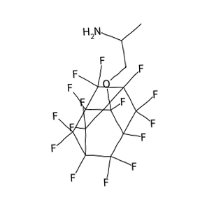 CC(N)COC1(F)C2(F)C(F)(F)C3(F)C(F)(F)C(F)(C2(F)F)C(F)(F)C1(F)C3(F)F